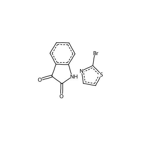 Brc1nccs1.O=C1Nc2ccccc2C1=O